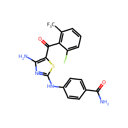 NC(=O)c1ccc(Nc2nc(N)c(C(=O)c3c(F)cccc3C(F)(F)F)s2)cc1